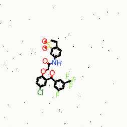 O=C(COc1ccc(Cl)cc1C(=O)c1cc(F)cc(C(F)(F)F)c1)Nc1ccc2c(c1)S(=O)(=O)C=C2